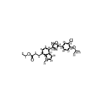 CCOC(=O)CCc1ccc(-c2noc(-c3ccc(OC(C)C)c(Cl)c3)n2)c2ccn(C)c12